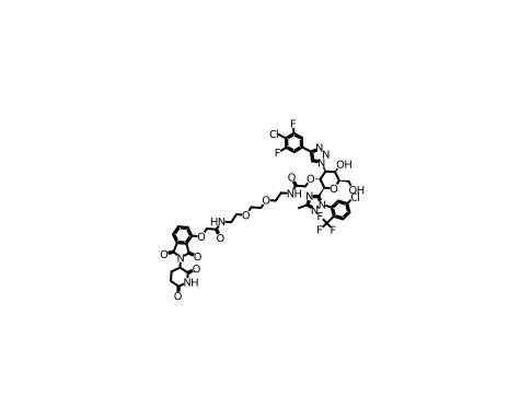 Cc1nc([C@@H]2O[C@H](CO)[C@H](O)[C@H](n3cc(-c4cc(F)c(Cl)c(F)c4)nn3)[C@H]2OCC(=O)NCCOCCOCCNC(=O)COc2cccc3c2C(=O)N(C2CCC(=O)NC2=O)C3=O)n(-c2cc(Cl)ccc2C(F)(F)F)n1